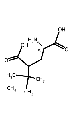 C.CC(C)(C)C(C[C@H](N)C(=O)O)C(=O)O